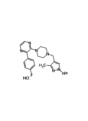 CCCn1cc(CN2CCN(c3nccnc3-c3ccc(F)cc3)CC2)c(C)n1.Cl